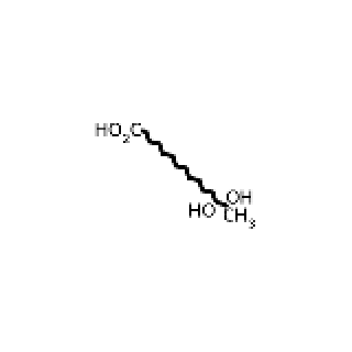 CC(O)C(O)CCCCCCCCCCCC(=O)O